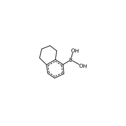 OB(O)c1cccc2c1CCCC2